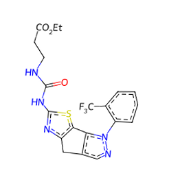 CCOC(=O)CCNC(=O)Nc1nc2c(s1)-c1c(cnn1-c1ccccc1C(F)(F)F)C2